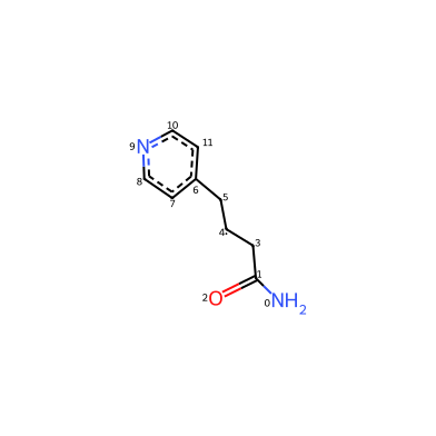 NC(=O)C[CH]Cc1ccncc1